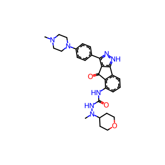 CN1CCN(c2ccc(-c3n[nH]c4c3C(=O)c3c(NC(=O)NN(C)C5CCOCC5)cccc3-4)cc2)CC1